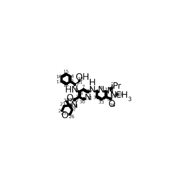 CC(C)n1c2nc(Nc3cc(N[C@H](CO)c4ccccc4)c(C4=NC5(CCOCC5)CO4)cn3)ccc2c(=O)n1C